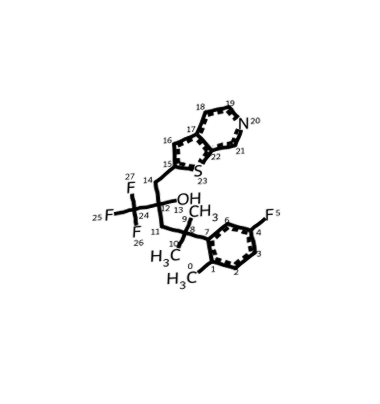 Cc1ccc(F)cc1C(C)(C)CC(O)(Cc1cc2ccncc2s1)C(F)(F)F